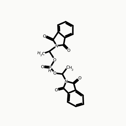 CC(O[PH](=O)OC(C)N1C(=O)c2ccccc2C1=O)N1C(=O)c2ccccc2C1=O